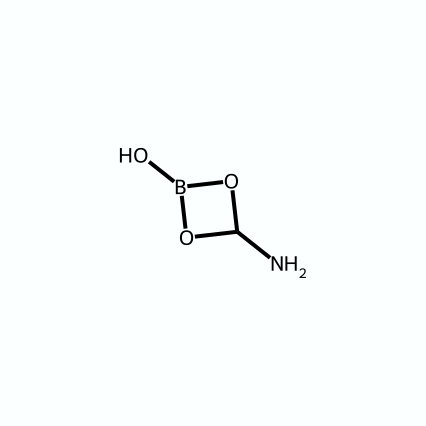 NC1OB(O)O1